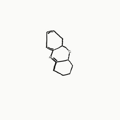 C1=CCC2OC3CCCCC3=NC2=C1